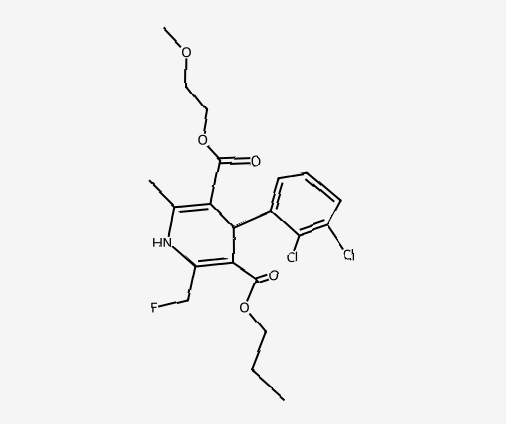 CCCOC(=O)C1=C(CF)NC(C)=C(C(=O)OCCOC)C1c1cccc(Cl)c1Cl